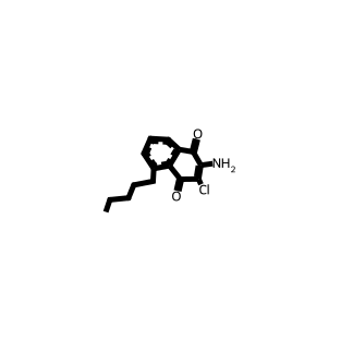 CCCCCc1cccc2c1C(=O)C(Cl)=C(N)C2=O